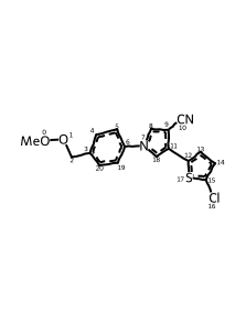 COOCc1ccc(-n2cc(C#N)c(-c3ccc(Cl)s3)c2)cc1